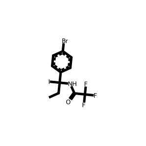 CCC(I)(NC(=O)C(F)(F)F)c1ccc(Br)cc1